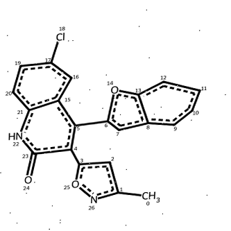 Cc1cc(-c2c(-c3cc4ccccc4o3)c3cc(Cl)ccc3[nH]c2=O)on1